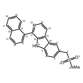 CNS(=O)(=O)Cc1ccc2[nH]c3c(-c4cccc5ccccc45)nccc3c2c1